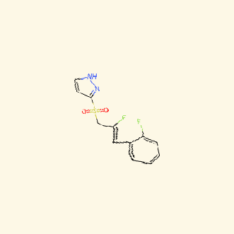 O=S(=O)(CC(F)=Cc1ccccc1F)c1cc[nH]n1